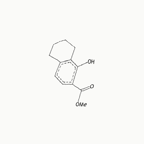 COC(=O)c1ccc2c(c1O)CCCC2